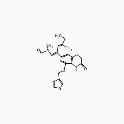 CC/C(C)=C/C(=C\N(C)C=O)c1cc2c(c(OCc3cscn3)c1)NC(=O)CC2